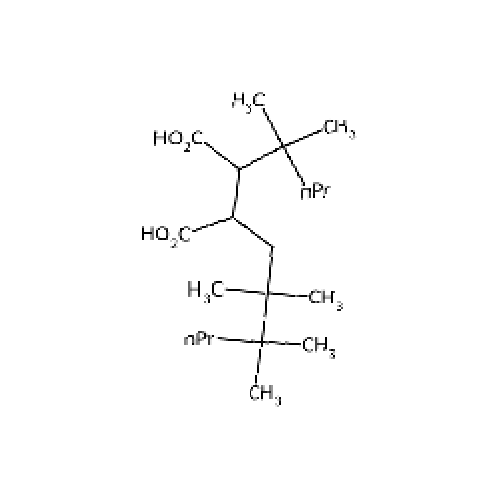 CCCC(C)(C)C(C(=O)O)C(CC(C)(C)C(C)(C)CCC)C(=O)O